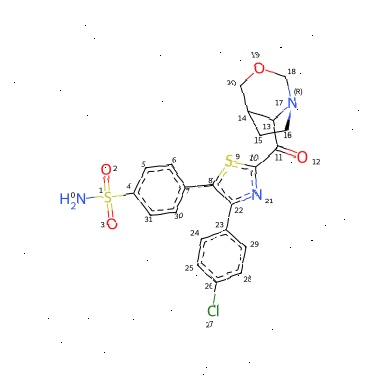 NS(=O)(=O)c1ccc(-c2sc(C(=O)C3C4CC[N@]3COC4)nc2-c2ccc(Cl)cc2)cc1